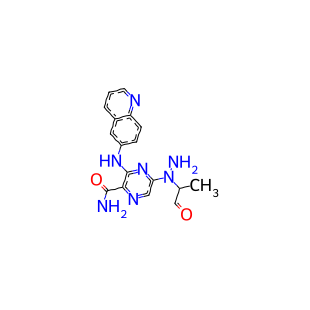 CC(C=O)N(N)c1cnc(C(N)=O)c(Nc2ccc3ncccc3c2)n1